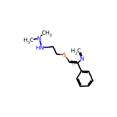 C=N/C(=C\SCCNN(C)C)c1ccccc1